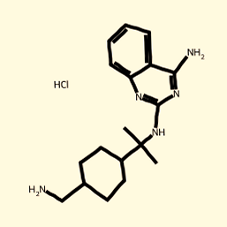 CC(C)(Nc1nc(N)c2ccccc2n1)C1CCC(CN)CC1.Cl